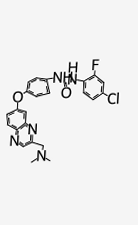 CN(C)Cc1cnc2ccc(Oc3ccc(NC(=O)Nc4ccc(Cl)cc4F)cc3)cc2n1